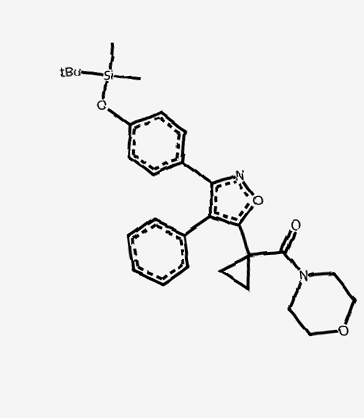 CC(C)(C)[Si](C)(C)Oc1ccc(-c2noc(C3(C(=O)N4CCOCC4)CC3)c2-c2ccccc2)cc1